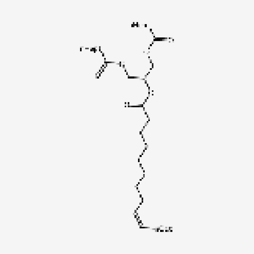 CCCCCCCC/C=C\CCCCCCCC(=O)OC(COC(=O)CCCCCCC)COC(=O)CCCCCCC